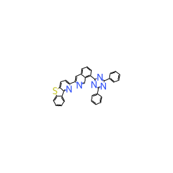 c1ccc(-c2nc(-c3ccccc3)nc(-c3cccc4cc(-c5ccc6sc7ccccc7c6n5)ncc34)n2)cc1